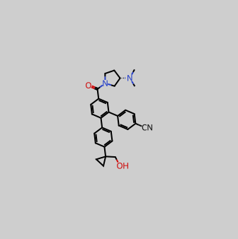 CN(C)[C@H]1CCN(C(=O)c2ccc(-c3ccc(C4(CO)CC4)cc3)c(-c3ccc(C#N)cc3)c2)C1